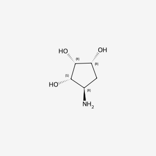 N[C@@H]1C[C@@H](O)[C@@H](O)[C@H]1O